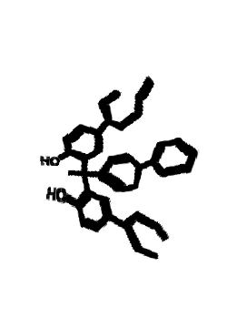 C=C/C=C\C(=C/C)c1ccc(O)c(C(C)(c2ccc(-c3ccccc3)cc2)c2cc(C(/C=C\C)=C/C)ccc2O)c1